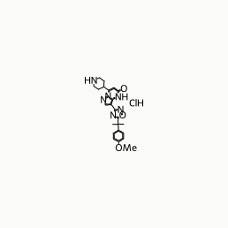 COc1ccc(C(C)(C)c2nc(-c3cnn4c(C5CCNCC5)cc(=O)[nH]c34)no2)cc1.Cl